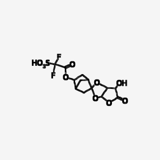 O=C1OC2OC3(CC4CC3CC4OC(=O)C(F)(F)S(=O)(=O)O)OC2C1O